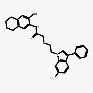 O=C(COCCn1cc(-c2ccccc2)c2ccc(C(=O)O)cc21)Nc1cc2c(cc1O)CCCC2